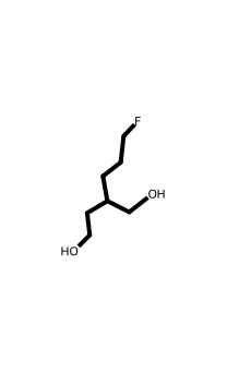 OCCC(CO)CCCF